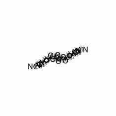 N#CN1CCN(c2ccc(C(=O)OC3COC4C(OC(=O)c5ccc(N6CCN(C#N)CC6)cc5)COC34)cc2)CC1